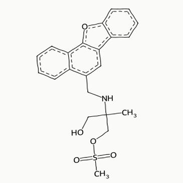 CC(CO)(COS(C)(=O)=O)NCc1cc2c3ccccc3oc2c2ccccc12